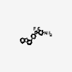 Nc1ccc(Oc2ccc(-c3cccc4c3Cc3ccccc3-4)cc2)c(C(F)(F)F)c1